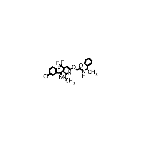 C[C@H](NC(=O)COc1cc(C(F)(F)F)c2c(-c3cccc(Cl)c3)nn(C)c2n1)c1ccccc1